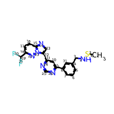 CSNCc1cccc(-c2cc(-c3cnc4ccc(C(F)F)nn34)ncn2)c1